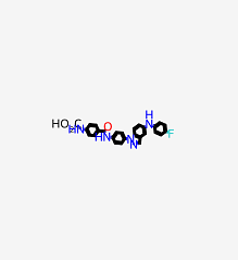 O=C(O)Nc1ccc(C(=O)Nc2ccc(-n3ncc4cc(Nc5ccc(F)cc5)ccc43)cc2)cc1